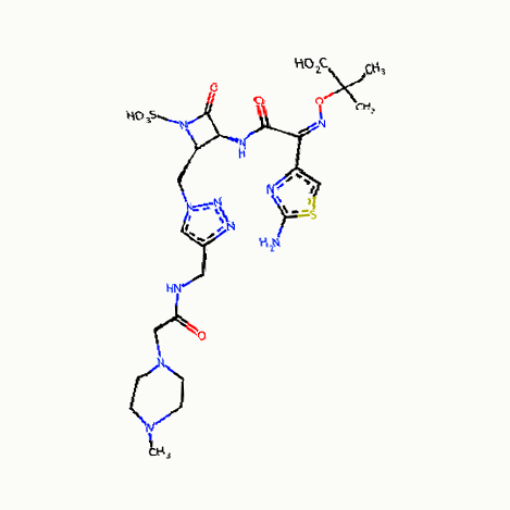 CN1CCN(CC(=O)NCc2cn(C[C@@H]3[C@H](NC(=O)/C(=N\OC(C)(C)C(=O)O)c4csc(N)n4)C(=O)N3S(=O)(=O)O)nn2)CC1